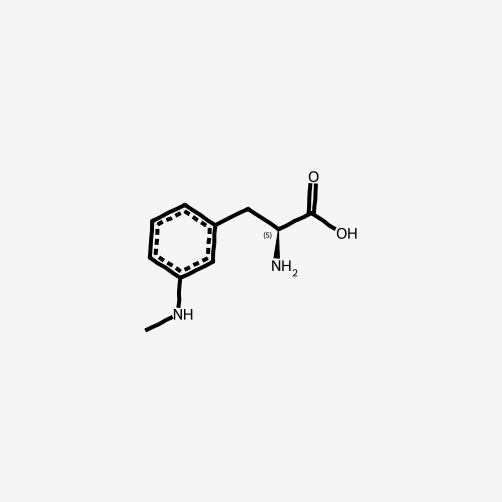 CNc1cccc(C[C@H](N)C(=O)O)c1